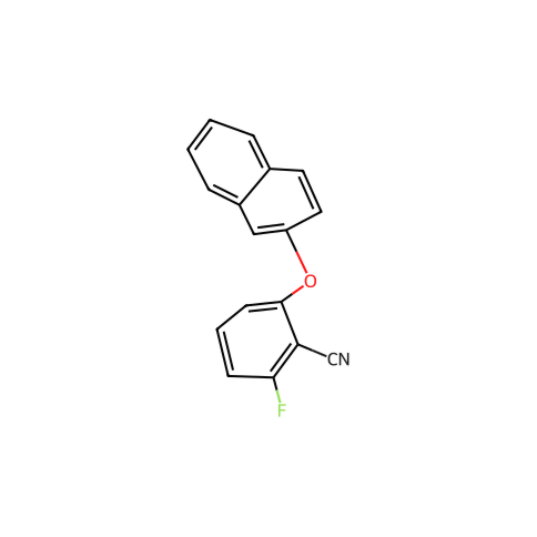 N#Cc1c(F)cccc1Oc1ccc2ccccc2c1